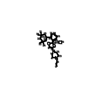 CCCN1CCN(C2=COC(c3ccccc3C3CC(C)(C)CC(C)(C)C3)O2)CC1.Cl